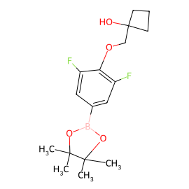 CC1(C)OB(c2cc(F)c(OCC3(O)CCC3)c(F)c2)OC1(C)C